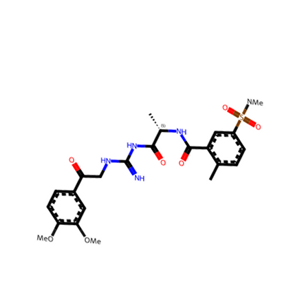 CNS(=O)(=O)c1ccc(C)c(C(=O)N[C@@H](C)C(=O)NC(=N)NCC(=O)c2ccc(OC)c(OC)c2)c1